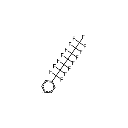 FC(F)(F)C(F)(F)C(F)(F)C(F)(F)C(F)(F)C(F)(F)C(F)(F)c1cc[c]cc1